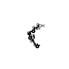 Cc1cccc(OCCCC(=O)N2CCC(C)Oc3c(-c4cnn(Cc5cccc(C(=O)NCCC(=O)O)c5)c4)cccc32)c1C